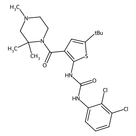 CN1CCN(C(=O)c2cc(C(C)(C)C)sc2NC(=O)Nc2cccc(Cl)c2Cl)C(C)(C)C1